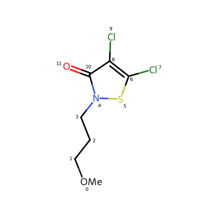 COCCCn1sc(Cl)c(Cl)c1=O